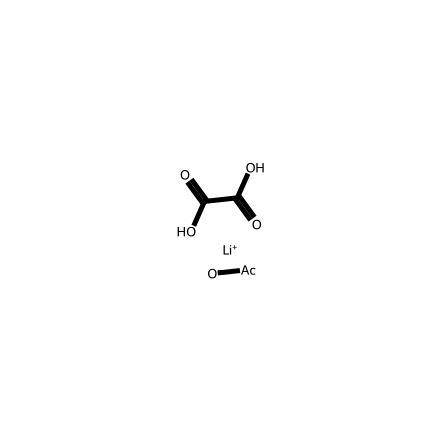 CC(=O)[O-].O=C(O)C(=O)O.[Li+]